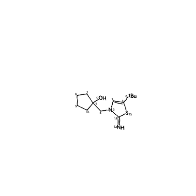 CC(C)(C)c1cn(CC2(O)CCCC2)c(=N)s1